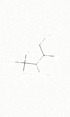 CCCCCCC(C)(CCCCCC)C(C(=O)O)C(CC)CS